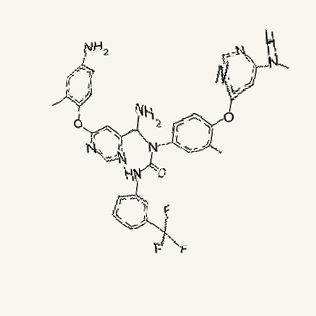 CNc1cc(Oc2ccc(N(C(=O)Nc3cccc(C(F)(F)F)c3)C(N)c3cc(Oc4ccc(N)cc4C)ncn3)cc2C)ncn1